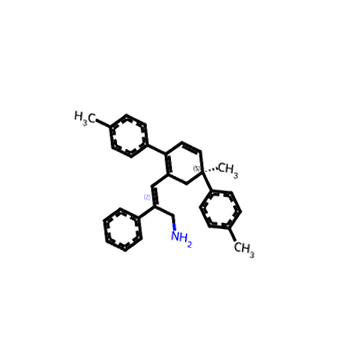 Cc1ccc(C2=C(/C=C(\CN)c3ccccc3)C[C@](C)(c3ccc(C)cc3)C=C2)cc1